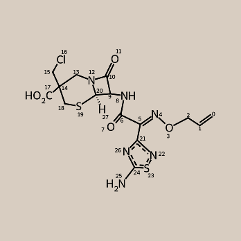 C=CCON=C(C(=O)NC1C(=O)N2CC(CCl)(C(=O)O)CS[C@H]12)c1nsc(N)n1